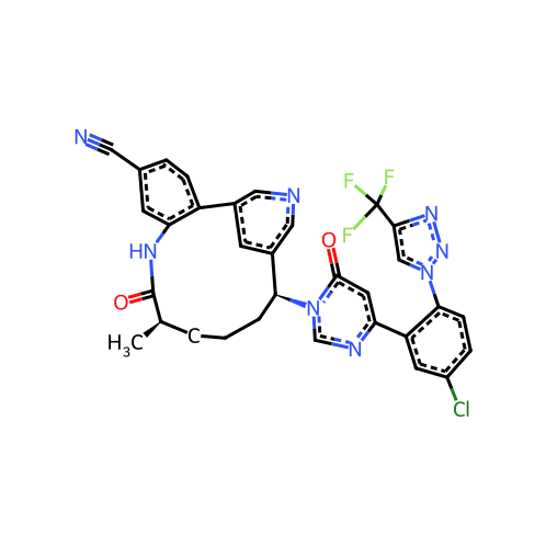 C[C@@H]1CCC[C@H](n2cnc(-c3cc(Cl)ccc3-n3cc(C(F)(F)F)nn3)cc2=O)c2cncc(c2)-c2ccc(C#N)cc2NC1=O